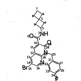 O=C(NC1CC2(CCC2)C1)c1cc2cc(Br)cnc2n(Cc2ccc(F)cc2)c1=O